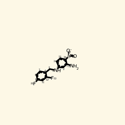 Nc1cc(NCc2ccc(F)cc2F)ccc1[N+](=O)[O-]